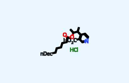 CCCCCCCCCCCCCCCC(=O)OC(C)C(C)c1ccncc1C(=O)O.Cl